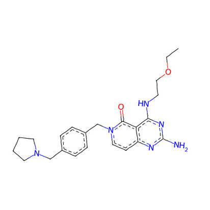 CCOCCNc1nc(N)nc2ccn(Cc3ccc(CN4CCCC4)cc3)c(=O)c12